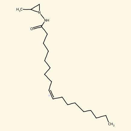 CCCCCCCC/C=C\CCCCCCCC(=O)NN1CC1C